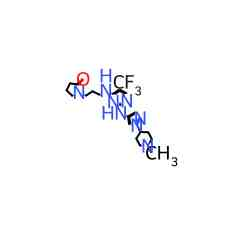 CN1CCC(n2cc(Nc3ncc(C(F)(F)F)c(NCCCN4CCCC4=O)n3)cn2)CC1